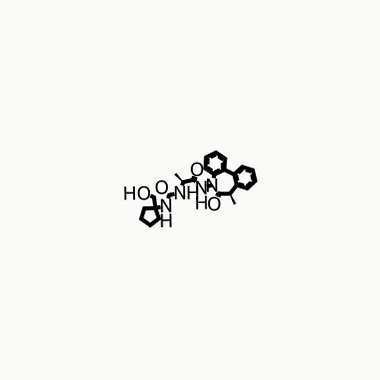 C[C@H](NC(=O)NC1(CO)CCCC1)C(=O)NN1C(=O)[C@H](C)c2ccccc2-c2ccccc21